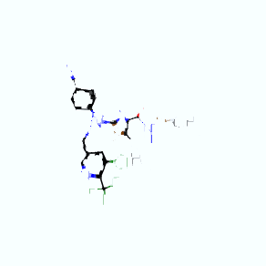 CSNC(=O)c1nc(N(Cc2cnc(C(F)(F)F)c(Cl)c2)c2ccc(C#N)cc2)sc1C